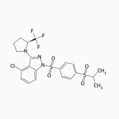 CC(C)S(=O)(=O)c1ccc(S(=O)(=O)n2nc(N3CCC[C@H]3C(F)(F)F)c3c(Cl)cccc32)cc1